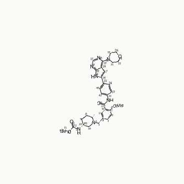 COc1ccc(CN2CCC[C@@H](NC(=O)OC(C)(C)C)C2)cc1C(=O)Nc1ccc(-c2cc3c(N4CCOCC4)ncnc3[nH]2)cc1